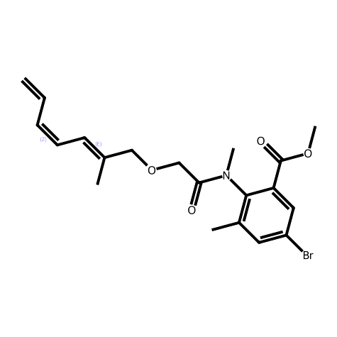 C=C/C=C\C=C(/C)COCC(=O)N(C)c1c(C)cc(Br)cc1C(=O)OC